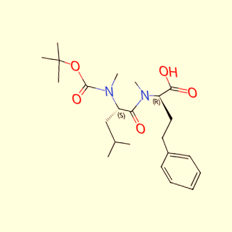 CC(C)C[C@@H](C(=O)N(C)[C@H](CCc1ccccc1)C(=O)O)N(C)C(=O)OC(C)(C)C